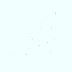 CC#CCn1c(N2CCC[C@@H](N)C2)c(C(=O)NCC(F)(F)F)c2c1c(=O)n(Cc1ccc3nccnc3c1)c(=O)n2C